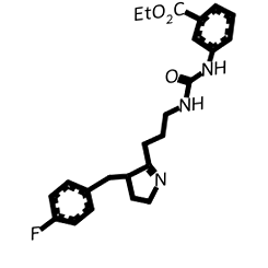 CCOC(=O)c1cccc(NC(=O)NCCCC2=NCCC2Cc2ccc(F)cc2)c1